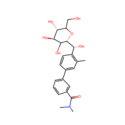 Cc1cc(-c2cccc(C(=O)N(C)C)c2)ccc1[C@@H](O)[C@H]1OC(CO)[C@@H](O)[C@H](O)C1O